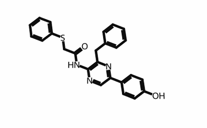 O=C(CSc1ccccc1)Nc1ncc(-c2ccc(O)cc2)nc1Cc1ccccc1